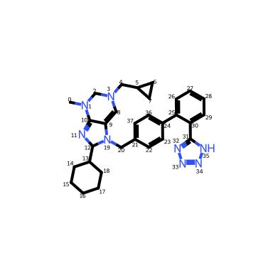 CN1CN(CC2CC2)C=C2C1=NC(C1CCCCC1)N2Cc1ccc(-c2ccccc2-c2nnn[nH]2)cc1